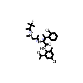 CC(=O)c1cc(Cl)cc(C)c1NC(=O)C(/N=C(\C)CN(C)/N=C(\C)C(C)(C)F)=C(/C)c1ccccc1Cl